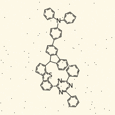 c1ccc(-c2nc(-c3ccccc3)nc(-c3cccc4c3sc3c(C5c6ccccc6-c6cc(-c7ccc(N(c8ccccc8)c8ccccc8)cc7)ccc65)cccc34)n2)cc1